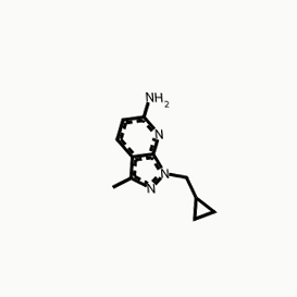 Cc1nn(CC2CC2)c2nc(N)ccc12